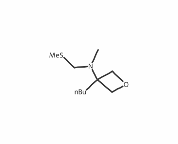 CCCCC1(N(C)CSC)COC1